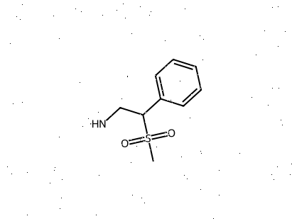 CS(=O)(=O)C(C[NH])c1ccccc1